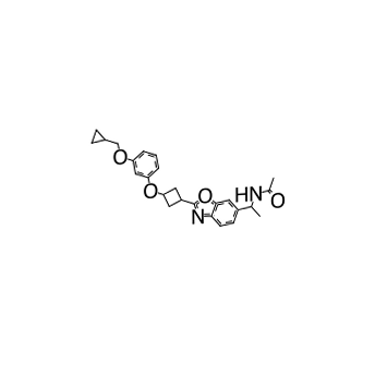 CC(=O)NC(C)c1ccc2nc(C3CC(Oc4cccc(OCC5CC5)c4)C3)oc2c1